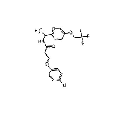 CC(NC(=O)CCOc1ccc(Cl)cc1)c1ccc(OCC(F)(F)F)cn1